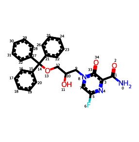 NC(=O)c1nc(F)cn(CC(O)COC(c2ccccc2)(c2ccccc2)c2ccccc2)c1=O